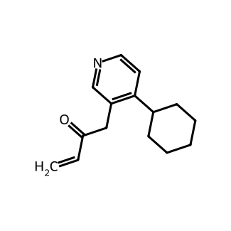 C=CC(=O)Cc1cnccc1C1CCCCC1